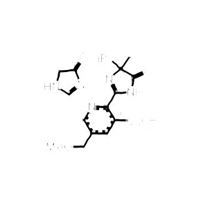 COCc1cnc(C2=NC(C)(C(C)C)C(=O)N2)c(C(=O)O)c1.O=C1CNC=N1